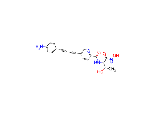 CC(O)C(NC(=O)c1ccc(C#CC#Cc2ccc(N)cc2)cn1)C(=O)NO